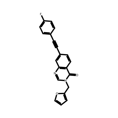 O=c1c2ccc(C#Cc3ccc(F)cc3)cc2ncn1Cc1ccco1